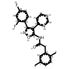 Cc1ccc(C)c(CC(=O)Nc2onc(-c3ccc(F)cc3F)c2-c2ccncn2)c1